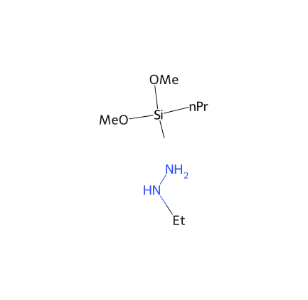 CCC[Si](C)(OC)OC.CCNN